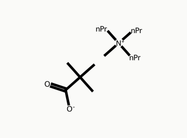 CC(C)(C)C(=O)[O-].CCC[N+](C)(CCC)CCC